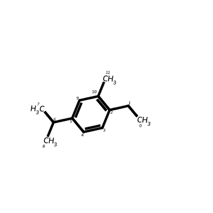 CCc1ccc([C](C)C)cc1C